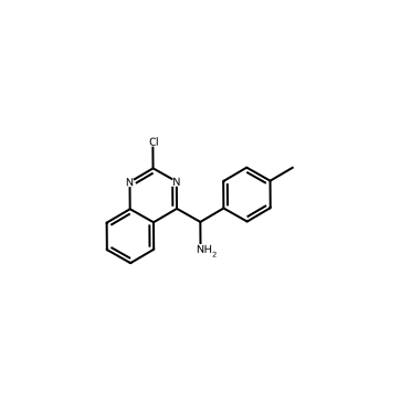 Cc1ccc(C(N)c2nc(Cl)nc3ccccc23)cc1